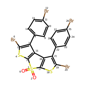 O=S1(=O)c2sc(Br)c(-c3ccc(Br)cc3)c2-c2c1sc(Br)c2-c1ccc(Br)cc1